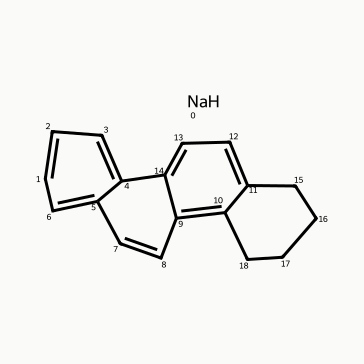 [NaH].c1ccc2c(c1)ccc1c3c(ccc12)CCCC3